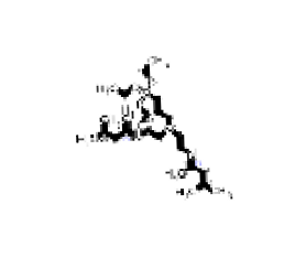 CCO[Si](CCCN(CC/N=C(\C)CC(C)C)CC/N=C(\C)CC(C)C)(OCC)OCC